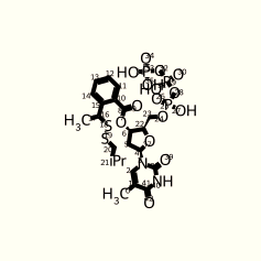 Cc1cn([C@H]2C[C@@H](OC(=O)c3ccccc3C(C)SSCC(C)C)[C@@H](COP(=O)(O)OP(=O)(O)OP(=O)(O)O)O2)c(=O)[nH]c1=O